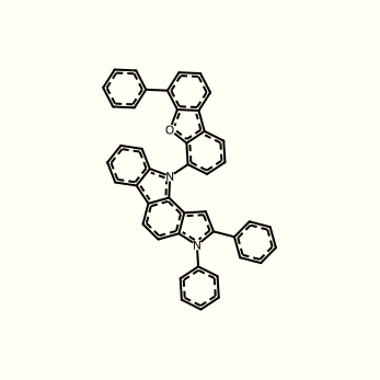 c1ccc(-c2cccc3c2oc2c(-n4c5ccccc5c5ccc6c(cc(-c7ccccc7)n6-c6ccccc6)c54)cccc23)cc1